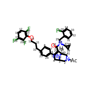 CC(=O)N1CC2CC(c3ccc(CCCOc4c(F)ccc(F)c4F)cc3)=C(C(=O)N(Cc3ccccc3F)C3CC3)[C@@H](C1)N2